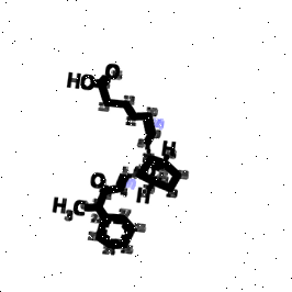 CC(C(=O)/C=C/[C@@H]1[C@H](C/C=C\CCCC(=O)O)[C@@H]2CC[C@H]1O2)c1ccccc1